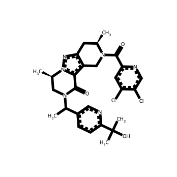 CC(c1ccc(C(C)(C)O)nc1)N1C[C@@H](C)n2nc3c(c2C1=O)CN(C(=O)c1cc(Cl)c(Cl)cn1)[C@H](C)C3